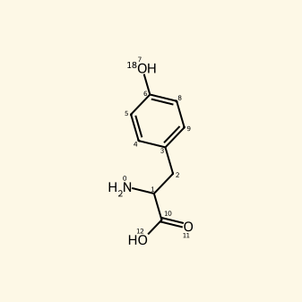 NC(Cc1ccc([18OH])cc1)C(=O)O